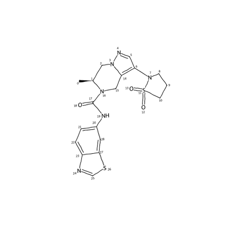 C[C@H]1Cn2ncc(N3CCCS3(=O)=O)c2CN1C(=O)Nc1ccc2ncsc2c1